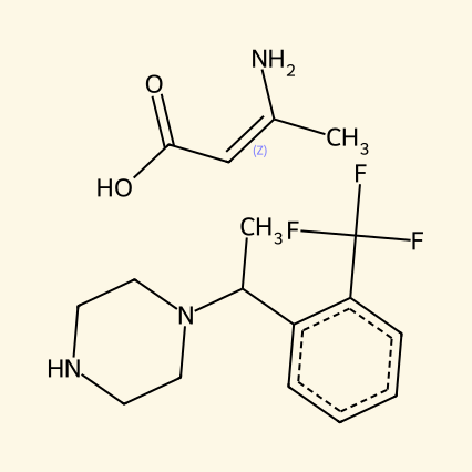 C/C(N)=C/C(=O)O.CC(c1ccccc1C(F)(F)F)N1CCNCC1